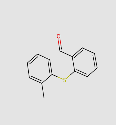 Cc1ccccc1Sc1ccccc1C=O